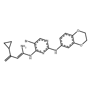 C=C(/C=C(\N)Nc1nc(Nc2ccc3c(c2)OCCO3)ncc1Br)C1CC1